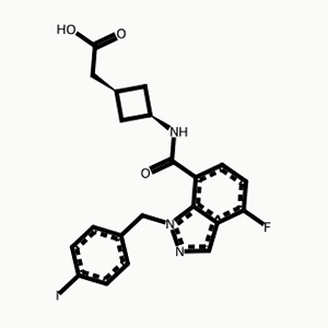 O=C(O)C[C@H]1C[C@@H](NC(=O)c2ccc(F)c3cnn(Cc4ccc(I)cc4)c23)C1